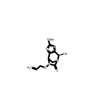 C=CCON1C(=O)N2CC1c1sc(OC)nc1[C@H]2C#N